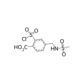 CS(=O)(=O)NCc1ccc(C(=O)O)c(S(=O)(=O)Cl)c1